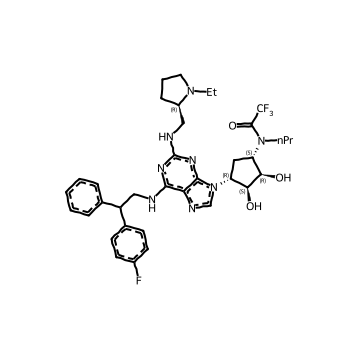 CCCN(C(=O)C(F)(F)F)[C@H]1C[C@@H](n2cnc3c(NCC(c4ccccc4)c4ccc(F)cc4)nc(NC[C@H]4CCCN4CC)nc32)[C@H](O)[C@@H]1O